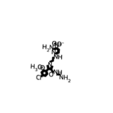 COc1cc(Cl)ccc1-c1cn(CCCNc2ccc([N+](=O)[O-])c(N)n2)cc1C(=O)NCCN